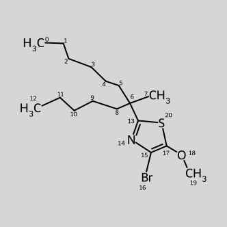 CCCCCCC(C)(CCCCC)c1nc(Br)c(OC)s1